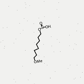 COCCCCCCCCO[Si](=O)O